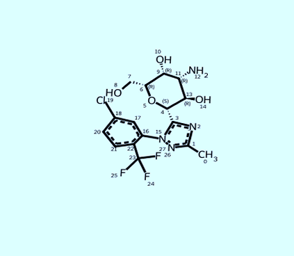 Cc1nc([C@@H]2O[C@H](CO)[C@H](O)[C@H](N)[C@H]2O)n(-c2cc(Cl)ccc2C(F)(F)F)n1